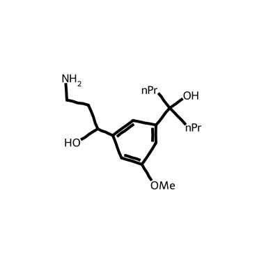 CCCC(O)(CCC)c1cc(OC)cc(C(O)CCN)c1